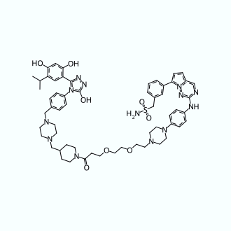 CC(C)c1cc(-c2nnc(O)n2-c2ccc(CN3CCN(CC4CCN(C(=O)CCOCCOCCN5CCN(c6ccc(Nc7ncc8ccc(-c9cccc(CS(N)(=O)=O)c9)n8n7)cc6)CC5)CC4)CC3)cc2)c(O)cc1O